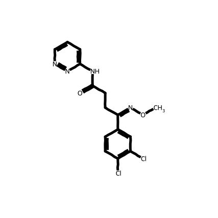 CON=C(CCC(=O)Nc1cccnn1)c1ccc(Cl)c(Cl)c1